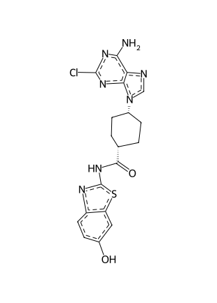 Nc1nc(Cl)nc2c1ncn2[C@H]1CC[C@@H](C(=O)Nc2nc3ccc(O)cc3s2)CC1